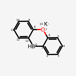 B1c2ccccc2Oc2ccccc21.[K]